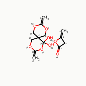 C=C1CC(=O)O1.C=C1OCC2(CO1)COC(=C)OC2(O)O